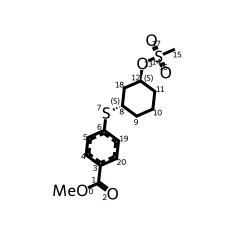 COC(=O)c1ccc(S[C@H]2CCC[C@H](OS(C)(=O)=O)C2)cc1